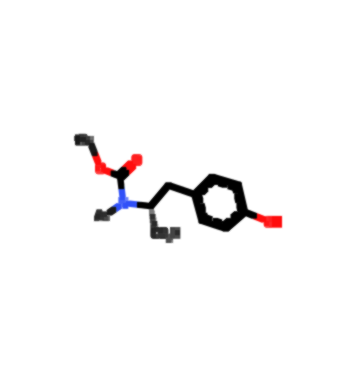 CC(=O)N(C(=O)OC(C)(C)C)[C@H](Cc1ccc(O)cc1)C(=O)O